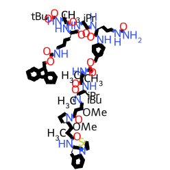 CC[C@H](C)[C@@H]([C@@H](CC(=O)N1CCC[C@H]1[C@H](OC)[C@@H](C)C(=O)N[C@@H](Cc1ccccc1)c1nccs1)OC)N(C)C(=O)[C@@H](NC(=O)C(C)(C)NC(=O)OCc1ccc(NC(=O)[C@H](CCCNC(N)=O)NC(=O)[C@@H](NC(=O)[C@H](CCCCNC(=O)OCC2c3ccccc3-c3ccccc32)NC(=O)[C@@H](C)NC(=O)OC(C)(C)C)C(C)C)cc1)C(C)C